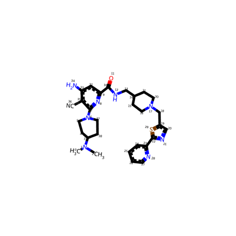 CN(C)C1CCN(c2nc(C(=O)NCC3CCN(Cc4cnc(-c5ccccn5)s4)CC3)cc(N)c2C#N)CC1